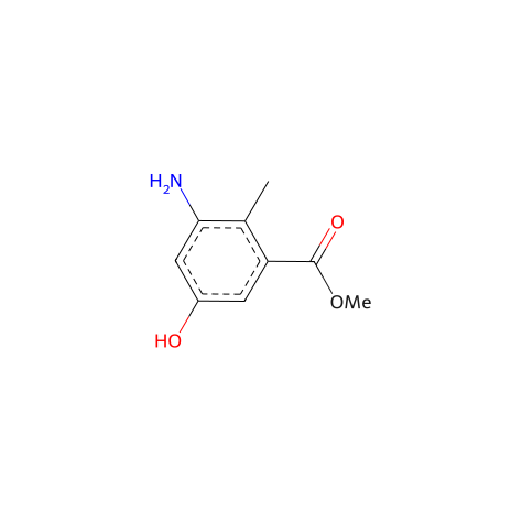 COC(=O)c1cc(O)cc(N)c1C